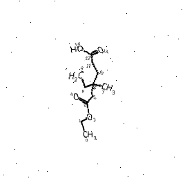 CCOC(=O)CC(C)(CC)CCC(=O)O